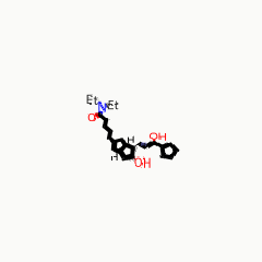 CCN(CC)C(=O)CCCCC1=C[C@H]2C[C@@H](O)[C@H](/C=C/[C@@H](O)C3CCCC3)[C@H]2C1